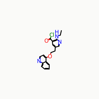 CCNc1ncc(CCOc2ccnc3ccccc23)cc1C(=O)Cl